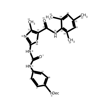 CCCCCCCCCCc1ccc(NC(=O)Nc2nc(C)c(C(=O)Nc3c(C)cc(C)cc3C)s2)cc1